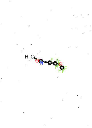 CCCCOc1ccc(C#Cc2ccc(-c3cc(F)c(C(F)(F)Oc4cc(F)c(F)c(F)c4)c(F)c3)c(F)c2)nc1